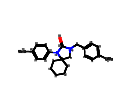 COc1ccc(CN2CC3(CCCCC3)N(c3ccc(OC)cc3)C2=O)cc1